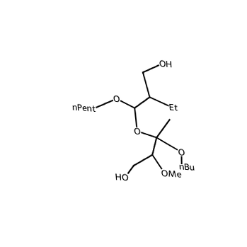 CCCCCOC(OC(C)(OCCCC)C(CO)OC)C(CC)CO